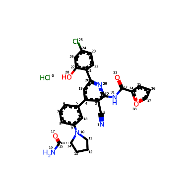 Cl.N#Cc1c(-c2cccc(N3CCC[C@@H]3C(N)=O)c2)cc(-c2ccc(Cl)cc2O)nc1NC(=O)c1ccco1